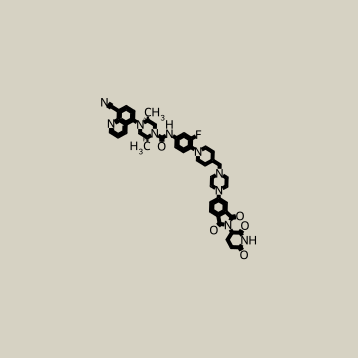 C[C@@H]1CN(c2ccc(C#N)c3ncccc23)[C@@H](C)CN1C(=O)Nc1ccc(N2CCC(CN3CCN(c4ccc5c(c4)C(=O)N(C4CCC(=O)NC4=O)C5=O)CC3)CC2)c(F)c1